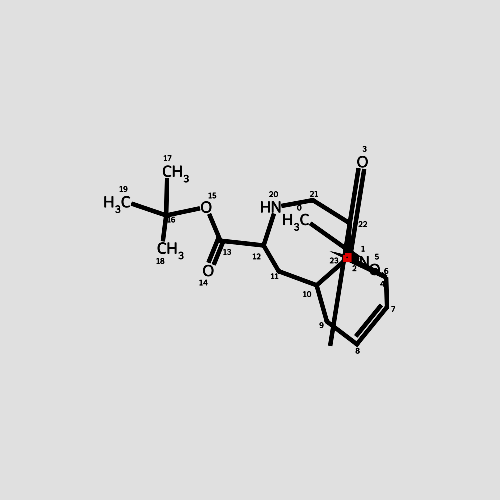 CN1C(=O)COC2C=CCC3CC(C(=O)OC(C)(C)C)NCCC321